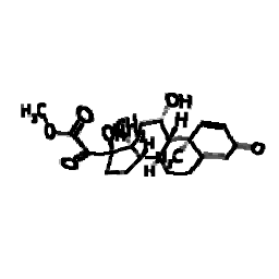 COC(=O)C(=O)[C@@]1(O)CC[C@H]2[C@@H]3CCC4=CC(=O)C=C[C@]4(C)[C@H]3[C@@H](O)C[C@@]21C